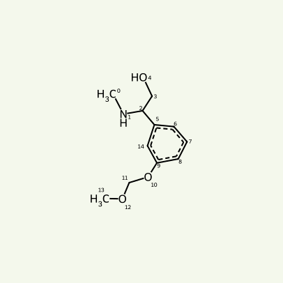 CNC(CO)c1cccc(OCOC)c1